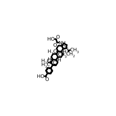 C=C(C)[C@@H]1CC[C@]2(NC(=O)C(=O)O)CC[C@]3(C)[C@H](CC[C@@H]4[C@@]5(C)CC=C(c6ccc(C(=O)O)cc6)C(C)(C)[C@@H]5CC[C@]43C)[C@@H]12